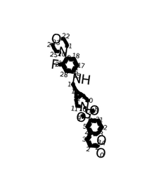 O=c1ccc2cc(S(=O)(=O)N3CC4C(CNc5ccc(N6CCOCC6)c(F)c5)C4C3)ccc2o1